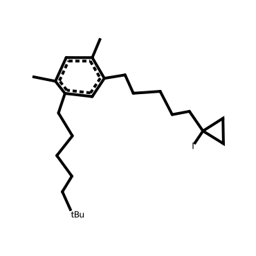 Cc1cc(C)c(CCCCCC2(I)CC2)cc1CCCCCC(C)(C)C